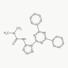 CN(C)C(=O)Nc1ccnn1-c1nc(-c2ccccc2)nc(-c2ccccc2)n1